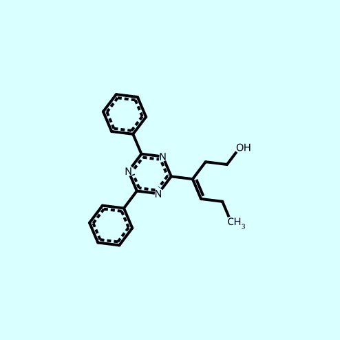 CC/C=C(\CCO)c1nc(-c2ccccc2)nc(-c2ccccc2)n1